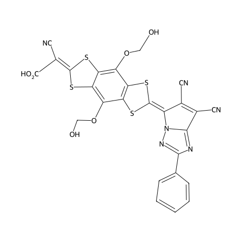 N#CC(C(=O)O)=C1Sc2c(OCO)c3c(c(OCO)c2S1)SC(=c1c(C#N)c(C#N)c2nc(-c4ccccc4)nn12)S3